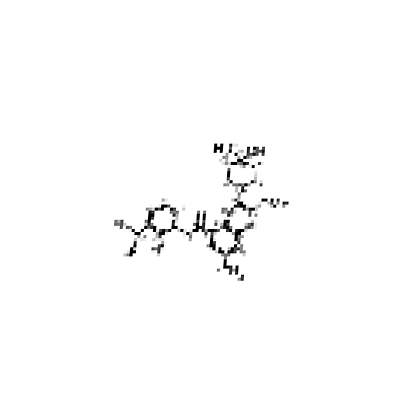 COc1cc2nc(C)cc(NCc3cccc(C(F)F)c3F)c2cc1N1CCC(C)(O)CC1